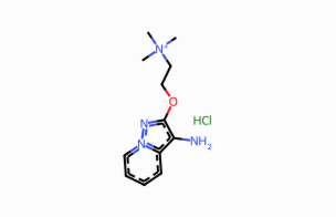 C[N+](C)(C)CCOc1nn2ccccc2c1N.Cl